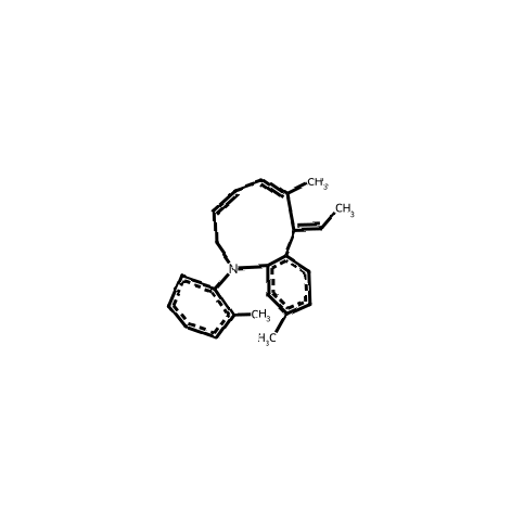 C\C=C1/C(C)=C\C=C/CN(c2ccccc2C)c2cc(C)ccc21